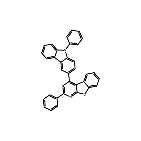 c1ccc(-c2nc(-c3ccc4c(c3)c3ccccc3n4-c3ccccc3)c3c(n2)oc2ccccc23)cc1